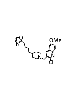 COc1ccc2nc(Cl)c(CN3CCC(CCCCc4ncco4)CC3)cc2c1